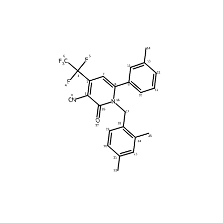 [C-]#[N+]c1c(C(F)(F)C(F)(F)F)cc(-c2cccc(C)c2)n(Cc2ccc(C)cc2C)c1=O